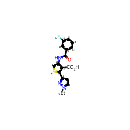 CCn1ccc(-c2scc(NC(=O)c3cccc(F)c3)c2C(=O)O)n1